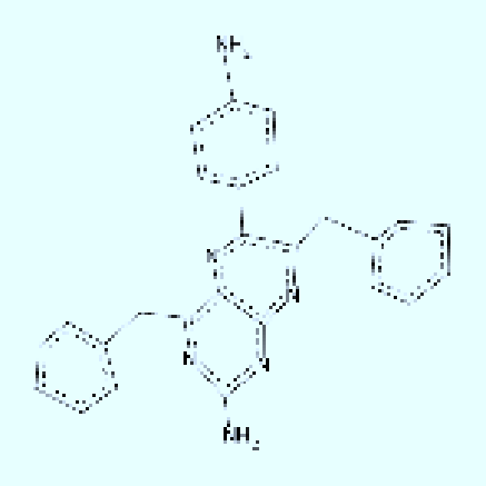 Nc1ccc(-c2nc3c(Cc4ccccc4)nc(N)nc3nc2Cc2ccccc2)cc1